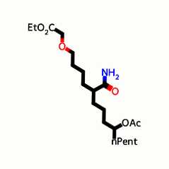 CCCCCC(CCCC(CCCCOCC(=O)OCC)C(N)=O)OC(C)=O